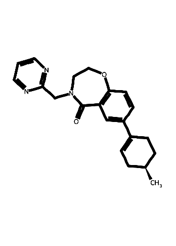 C[C@H]1CC=C(c2ccc3c(c2)C(=O)N(Cc2ncccn2)CCO3)CC1